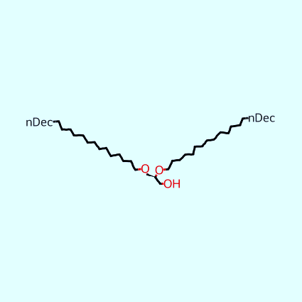 CCCCCCCCCCCCCCCCCCCCCCCCOC[C@H](CO)OCCCCCCCCCCCCCCCCCCCCCCCC